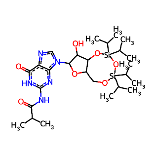 CC(C)C(=O)Nc1nc2c(ncn2C2OC3CO[Si](C(C)C)(C(C)C)O[Si](C(C)C)(C(C)C)OC3C2O)c(=O)[nH]1